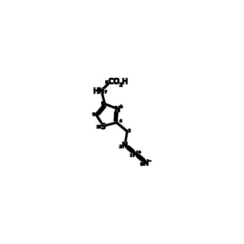 [N-]=[N+]=NCc1nc(NC(=O)O)cs1